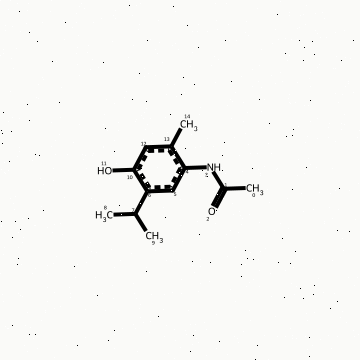 CC(=O)Nc1cc(C(C)C)c(O)cc1C